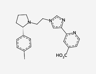 Cc1ccc([C@@H]2CCCN2CCn2cnc(-c3cc(C(=O)O)ccn3)c2)cc1